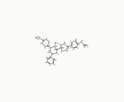 CN1CCN(C2OC(c3ncccn3)CN(N3CCN(c4ccc(CN)cc4)CC3)C2F)CC1